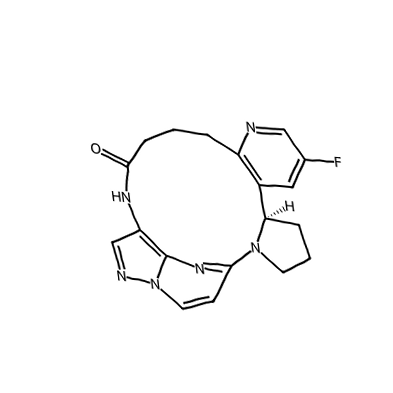 O=C1CCCc2ncc(F)cc2[C@H]2CCCN2c2ccn3ncc(c3n2)N1